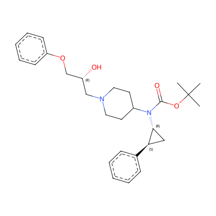 CC(C)(C)OC(=O)N(C1CCN(C[C@@H](O)COc2ccccc2)CC1)[C@@H]1C[C@H]1c1ccccc1